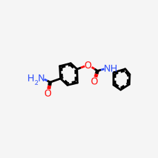 NC(=O)c1ccc(OC(=O)Nc2ccccc2)cc1